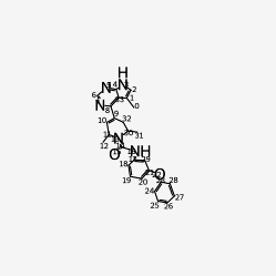 Cc1c[nH]c2ncnc(C3=CC(C)N(C(=O)Nc4cccc(Oc5ccccc5)c4)C(C)C3)c12